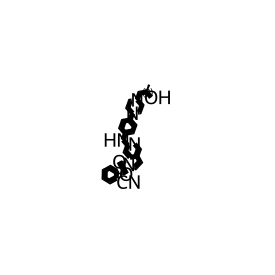 C[C@@H](O)CN1CCN(c2ccc(Nc3cc4c(ccn4S(=O)(=O)c4ccccc4C#N)cn3)cc2)CC1